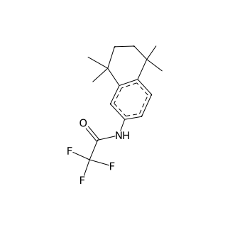 CC1(C)CCC(C)(C)c2cc(NC(=O)C(F)(F)F)ccc21